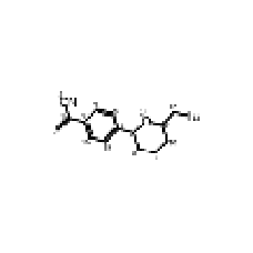 C=C(C#N)c1ccc(C2CCCC(CI)O2)cc1